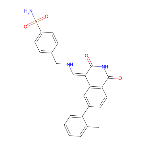 Cc1ccccc1-c1ccc2c(c1)C(=CNCc1ccc(S(N)(=O)=O)cc1)C(=O)NC2=O